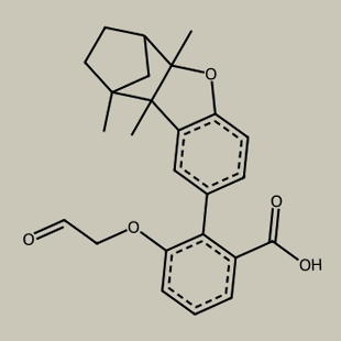 CC12CCC(C1)C1(C)Oc3ccc(-c4c(OCC=O)cccc4C(=O)O)cc3C21C